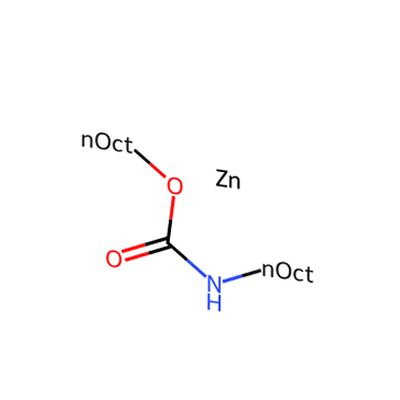 CCCCCCCCNC(=O)OCCCCCCCC.[Zn]